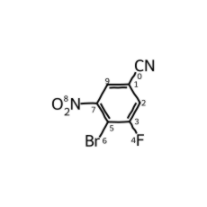 N#Cc1cc(F)c(Br)c([N+](=O)[O-])c1